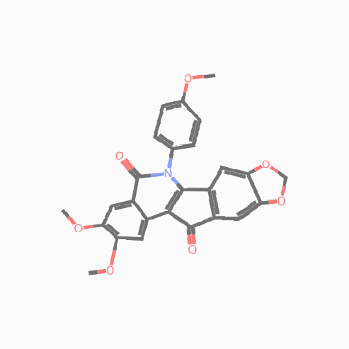 COc1ccc(-n2c3c(c4cc(OC)c(OC)cc4c2=O)C(=O)c2cc4c(cc2-3)OCO4)cc1